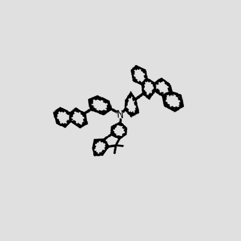 CC1(C)c2ccccc2-c2cc(N(c3ccc(-c4cc5c6ccccc6ccc5c5ccccc45)cc3)c3cccc(-c4ccc5ccccc5c4)c3)ccc21